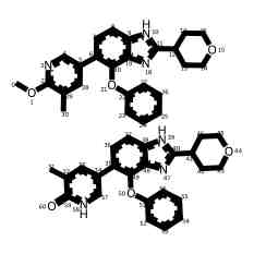 COc1ncc(-c2ccc3[nH]c(C4CCOCC4)nc3c2Oc2ccccc2)cc1C.Cc1cc(-c2ccc3[nH]c(C4CCOCC4)nc3c2Oc2ccccc2)c[nH]c1=O